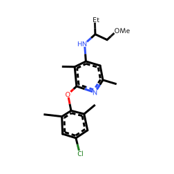 CCC(COC)Nc1cc(C)nc(Oc2c(C)cc(Cl)cc2C)c1C